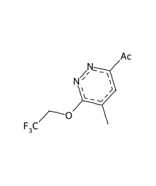 CC(=O)c1cc(C)c(OCC(F)(F)F)nn1